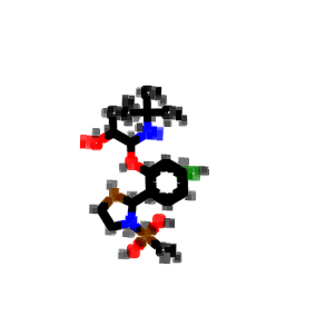 CC(O)C(NC(C)(C)C)Oc1ccccc1C1SCCN1S(C)(=O)=O.Cl